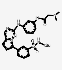 CN(C)CC(=O)Nc1cccc(Nc2ncc3ccc(-c4cccc(S(=O)(=O)NC(C)(C)C)c4)n3n2)c1